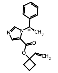 C=CC1(OC(=O)c2cncn2[C@H](C)c2ccccc2)CCC1